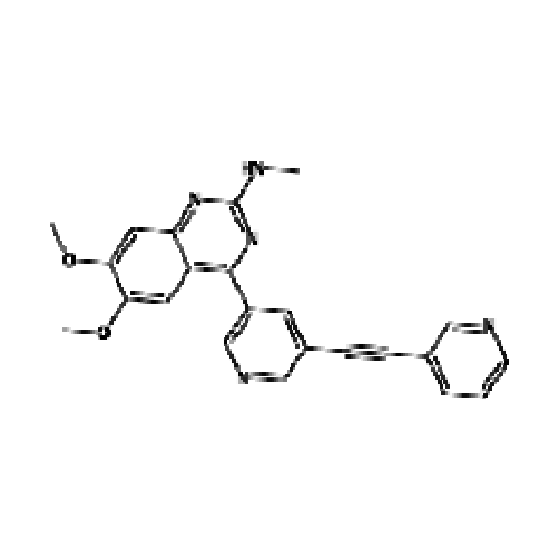 CNc1nc(-c2cncc(C#Cc3cccnc3)c2)c2cc(OC)c(OC)cc2n1